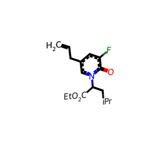 C=CCc1cc(F)c(=O)n(C(CC(C)C)C(=O)OCC)c1